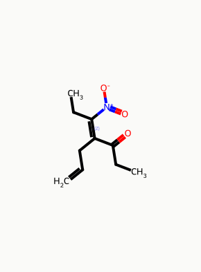 C=CC/C(C(=O)CC)=C(\CC)[N+](=O)[O-]